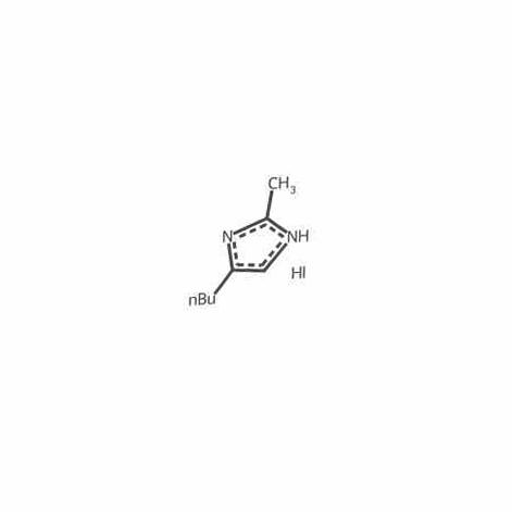 CCCCc1c[nH]c(C)n1.I